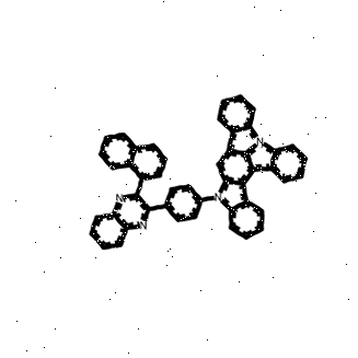 c1ccc2c(-c3nc4ccccc4nc3-c3ccc(-n4c5ccccc5c5c6c7ccccc7n7c8ccccc8c(cc54)c67)cc3)cccc2c1